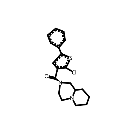 O=C(c1cc(-c2ccccc2)sc1Cl)N1CCN2CCCCC2C1